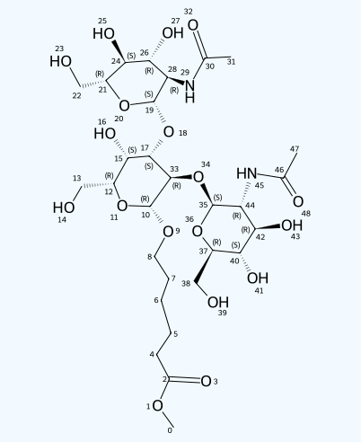 COC(=O)CCCCCO[C@@H]1O[C@H](CO)[C@H](O)[C@H](O[C@@H]2O[C@H](CO)[C@@H](O)[C@H](O)[C@H]2NC(C)=O)[C@H]1O[C@@H]1O[C@H](CO)[C@@H](O)[C@H](O)[C@H]1NC(C)=O